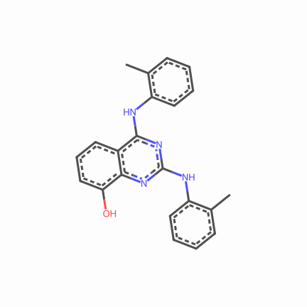 Cc1ccccc1Nc1nc(Nc2ccccc2C)c2cccc(O)c2n1